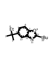 CCC(C)(C)c1ccc2oc(C(C)(C)C)nc2c1